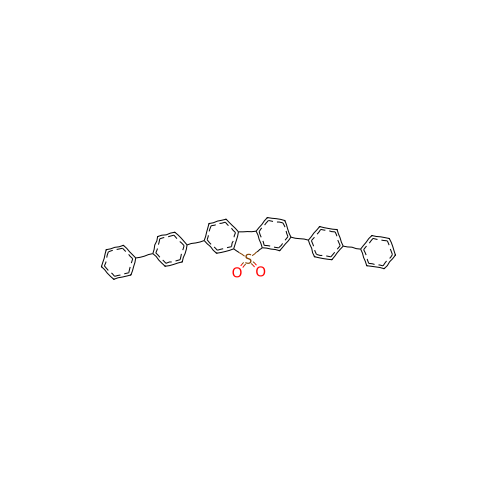 O=S1(=O)c2cc(-c3ccc(-c4ccccc4)cc3)ccc2-c2ccc(-c3ccc(-c4ccccc4)cc3)cc21